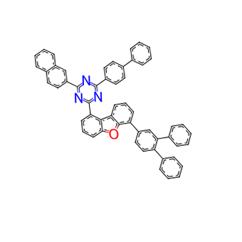 c1ccc(-c2ccc(-c3nc(-c4ccc5ccccc5c4)nc(-c4cccc5oc6c(-c7ccc(-c8ccccc8)c(-c8ccccc8)c7)cccc6c45)n3)cc2)cc1